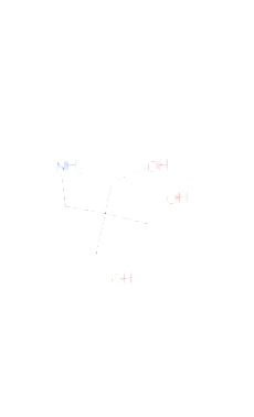 NCC(CO)(CO)CO